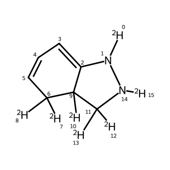 [2H]N1C2=CC=CC([2H])([2H])C2([2H])C([2H])([2H])N1[2H]